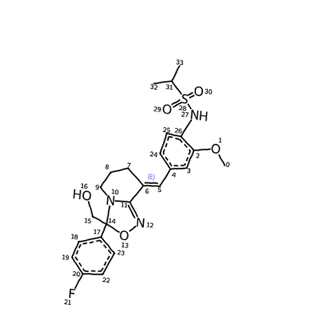 COc1cc(/C=C2\CCCN3C2=NOC3(CO)c2ccc(F)cc2)ccc1NS(=O)(=O)C(C)C